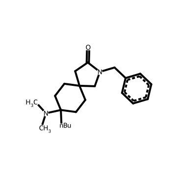 CCCCC1(N(C)C)CCC2(CC1)CC(=O)N(Cc1ccccc1)C2